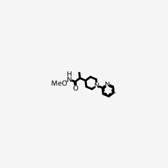 CONC(=O)C(C)C1CCN(c2cc[c]cn2)CC1